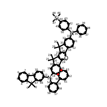 CC1(C)c2ccccc2-c2ccc(N(c3ccc4c(c3)C(C)(C)c3c-4oc4c3C(C)(C)c3cc(N(c5ccccc5)c5ccc([Si](C)(C)C)cc5)ccc3-4)c3ccccc3-c3ccccc3)cc21